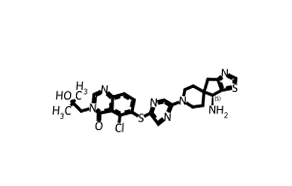 CC(C)(O)Cn1cnc2ccc(Sc3cnc(N4CCC5(CC4)Cc4ncsc4[C@H]5N)cn3)c(Cl)c2c1=O